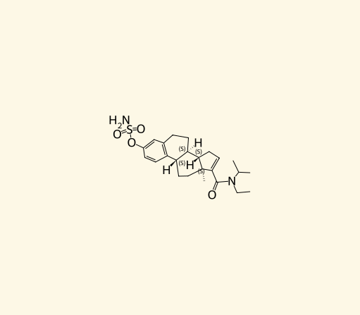 CCN(C(=O)C1=CC[C@H]2[C@@H]3CCc4cc(OS(N)(=O)=O)ccc4[C@H]3CC[C@]12C)C(C)C